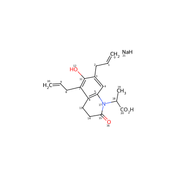 C=CCc1cc2c(c(CC=C)c1O)CCC(=O)N2C(C)C(=O)O.[NaH]